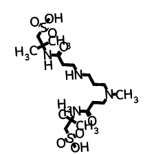 CN(CCCNCCC(=O)NC(C)(C)CS(=O)(=O)O)CCC(=O)NC(C)(C)CS(=O)(=O)O